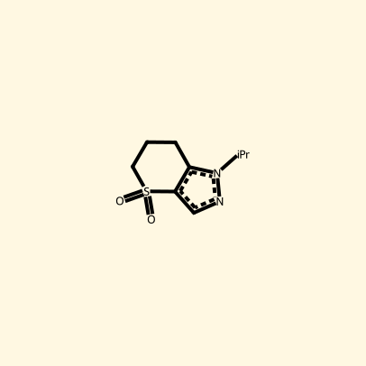 CC(C)n1ncc2c1CCCS2(=O)=O